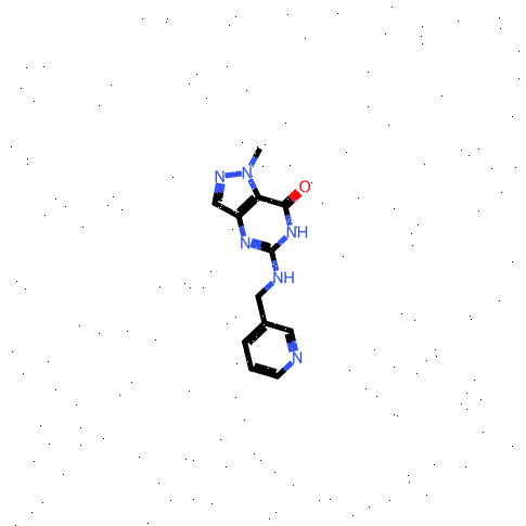 Cn1ncc2nc(NCc3cccnc3)[nH]c(=O)c21